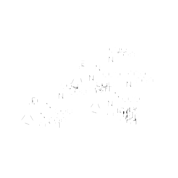 CCOC(c1ccccc1)C(CN(CCN(CC(=O)[O-])CC(=O)[O-])CC(=O)[O-])N(CC(=O)[O-])CC(=O)O.CCOC(c1ccccc1)C(CN(CCN(CC(=O)[O-])CC(=O)[O-])CC(=O)[O-])N(CC(=O)[O-])CC(=O)O.CCOC(c1ccccc1)C(CN(CCN(CC(=O)[O-])CC(=O)[O-])CC(=O)[O-])N(CC(=O)[O-])CC(=O)O.[Gd+3].[Gd+3].[Gd+3].[Gd+3]